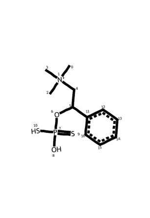 C[N+](C)(C)CC(OP(O)(=S)S)c1ccccc1